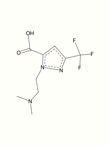 CN(C)CCn1nc(C(F)(F)F)cc1C(=O)O